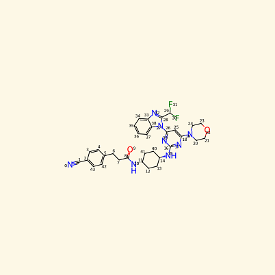 N#Cc1ccc(CCC(=O)N[C@H]2CC[C@H](Nc3nc(N4CCOCC4)cc(-n4c(C(F)F)nc5ccccc54)n3)CC2)cc1